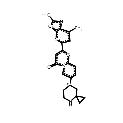 Cc1nc2c(C)cc(-c3cc(=O)n4cc([C@@H]5CCNC6(CC6)C5)ccc4n3)nc2o1